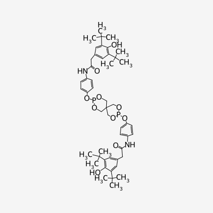 CC(C)(C)c1cc(CC(=O)Nc2ccc(OP3OCC4(CO3)COP(Oc3ccc(NC(=O)Cc5cc(C(C)(C)C)c(O)c(C(C)(C)C)c5)cc3)OC4)cc2)cc(C(C)(C)C)c1O